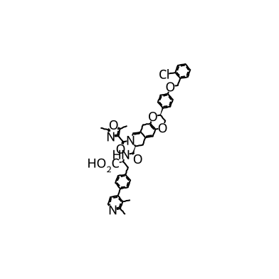 Cc1nc(C(=O)N2C=C3CC4=C(C=C3C[C@H]2C(=O)N[C@@H](Cc2ccc(-c3ccnc(C)c3C)cc2)C(=O)O)OC[C@H](c2ccc(OCc3ccccc3Cl)cc2)O4)c(C)o1